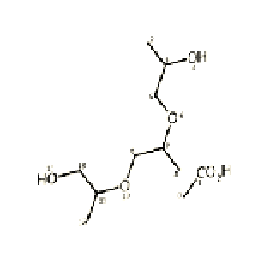 CC(=O)O.CC(O)COC(C)COC(C)CO